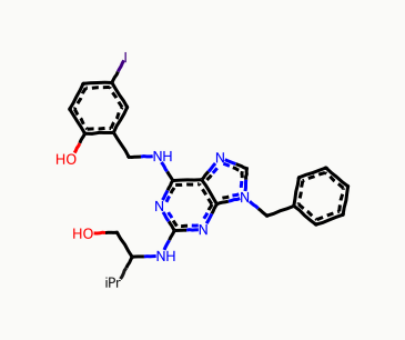 CC(C)C(CO)Nc1nc(NCc2cc(I)ccc2O)c2ncn(Cc3ccccc3)c2n1